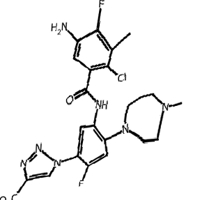 Cc1c(F)c(N)cc(C(=O)Nc2cc(-n3cc(C(=O)O)nn3)c(F)cc2N2CCN(C)CC2)c1Cl